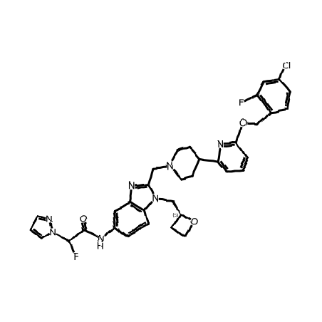 O=C(Nc1ccc2c(c1)nc(CN1CCC(c3cccc(OCc4ccc(Cl)cc4F)n3)CC1)n2C[C@@H]1CCO1)C(F)n1cccn1